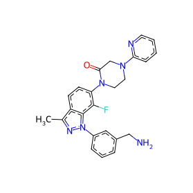 Cc1nn(-c2cccc(CN)c2)c2c(F)c(N3CCN(c4ccccn4)CC3=O)ccc12